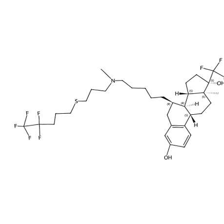 CN(CCCCC[C@@H]1Cc2cc(O)ccc2[C@H]2CC[C@@]3(C)[C@@H](CC[C@@]3(O)C(F)(F)F)[C@H]12)CCCSCCCC(F)(F)C(F)(F)F